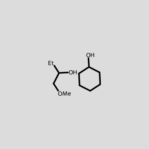 CCC(O)COC.OC1CCCCC1